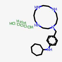 Cl.Cl.Cl.Cl.Cl.c1cc(NC2CCCCCC2)ccc1CN1CCCNCCNCCCNCC1